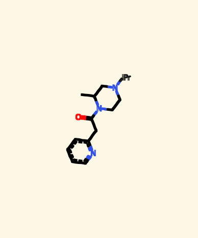 CC(C)N1CCN(C(=O)Cc2ccccn2)C(C)C1